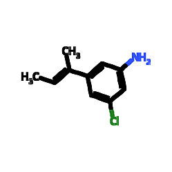 CC=C(C)c1cc(N)cc(Cl)c1